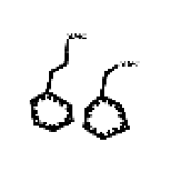 CCCCCCCCCCCCc1ccccc1.CCCCCCCCCCCc1ccccc1